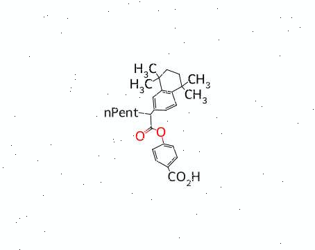 CCCCCC(C(=O)Oc1ccc(C(=O)O)cc1)c1ccc2c(c1)C(C)(C)CCC2(C)C